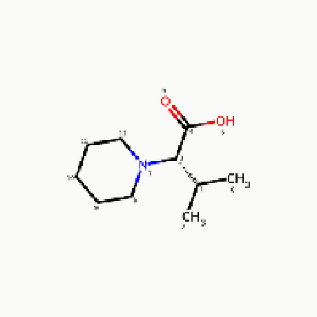 CC(C)[C@@H](C(=O)O)N1CCCCC1